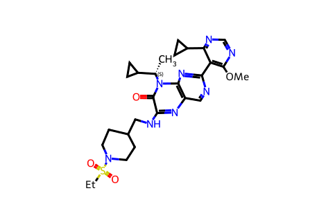 CCS(=O)(=O)N1CCC(CNc2nc3cnc(-c4c(OC)ncnc4C4CC4)nc3n([C@@H](C)C3CC3)c2=O)CC1